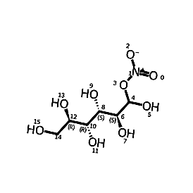 O=[N+]([O-])OC(O)[C@@H](O)[C@@H](O)[C@H](O)[C@H](O)CO